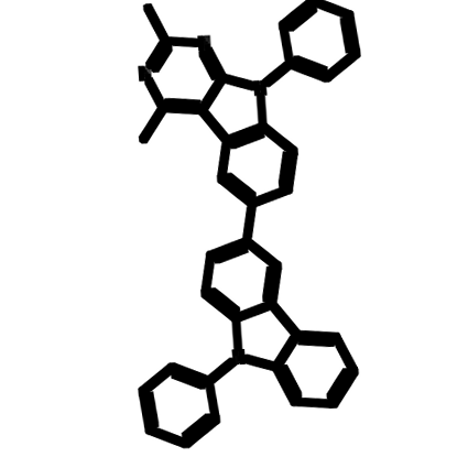 Cc1nc(C)c2c3cc(-c4ccc5c(c4)c4ccccc4n5-c4ccccc4)ccc3n(-c3ccccc3)c2n1